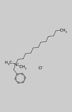 CCCCCCCCCCCC[N+](C)(C)Cc1ccccc1.[Cl-]